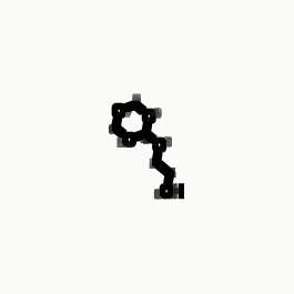 OCCOC1OCOCO1